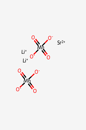 [Li+].[Li+].[O]=[Mn](=[O])([O-])[O-].[O]=[Mn](=[O])([O-])[O-].[Sr+2]